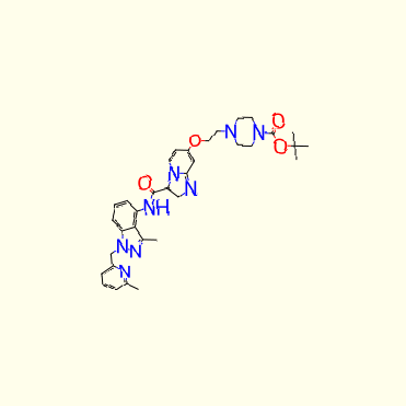 Cc1cccc(Cn2nc(C)c3c(NC(=O)C4CN=C5C=C(OCCN6CCN(C(=O)OC(C)(C)C)CC6)C=CN54)cccc32)n1